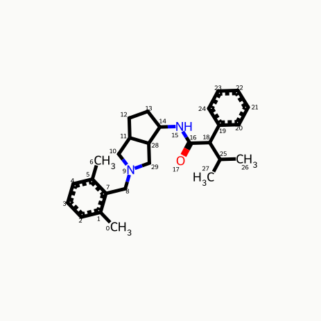 Cc1cccc(C)c1CN1CC2CCC(NC(=O)C(c3ccccc3)C(C)C)C2C1